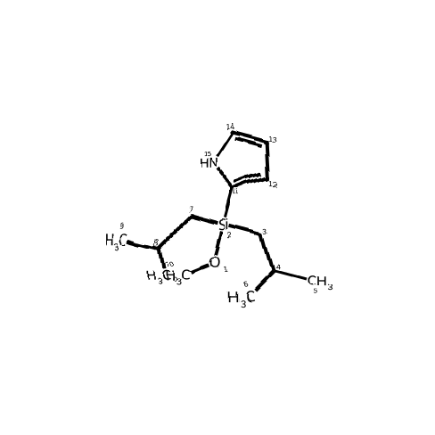 CO[Si](CC(C)C)(CC(C)C)c1ccc[nH]1